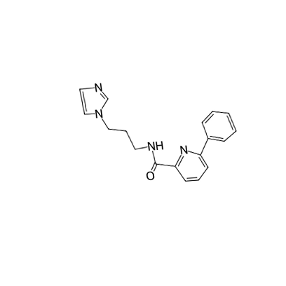 O=C(NCCCn1ccnc1)c1cccc(-c2ccccc2)n1